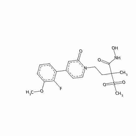 COc1cccc(-c2ccn(CCC(C)(C(=O)NO)S(C)(=O)=O)c(=O)c2)c1F